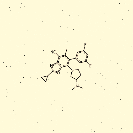 Cc1c(-c2cc(F)cc(F)c2)c(N2CC[C@H](N(C)C)C2)c2oc(C3CC3)nc2c1C#N